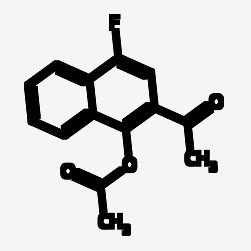 CC(=O)Oc1c(C(C)=O)cc(F)c2ccccc12